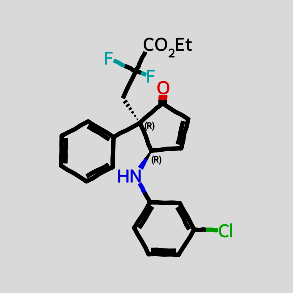 CCOC(=O)C(F)(F)C[C@]1(c2ccccc2)C(=O)C=C[C@H]1Nc1cccc(Cl)c1